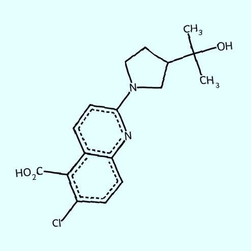 CC(C)(O)C1CCN(c2ccc3c(C(=O)O)c(Cl)ccc3n2)C1